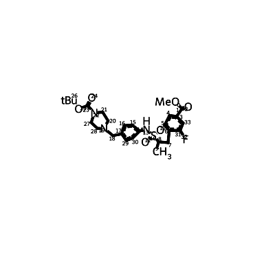 COC(=O)c1ccc(CC(C)S(=O)(=O)Nc2ccc(CN3CCN(C(=O)OC(C)(C)C)CC3)cc2)c(F)c1